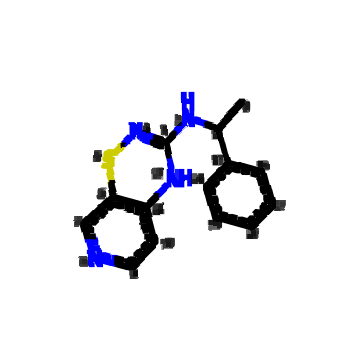 CC(NC1=NSc2cnccc2N1)c1ccccc1